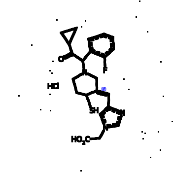 Cl.O=C(O)Cn1cnc(/C=C2/CN(C(C(=O)C3CC3)c3ccccc3F)CCC2S)c1